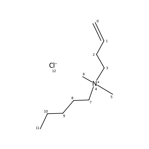 C=CCC[N+](C)(C)CCCCC.[Cl-]